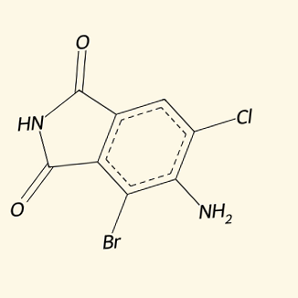 Nc1c(Cl)cc2c(c1Br)C(=O)NC2=O